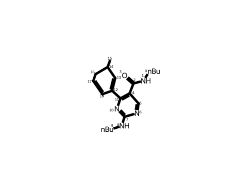 CCCCNC(=O)c1cnc(NCCCC)nc1C1=CC(C)CC=C1